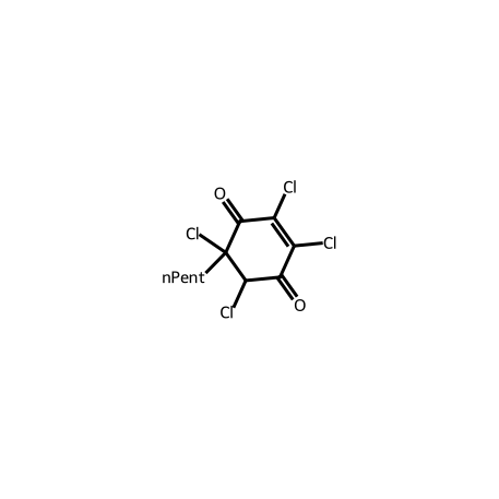 CCCCCC1(Cl)C(=O)C(Cl)=C(Cl)C(=O)C1Cl